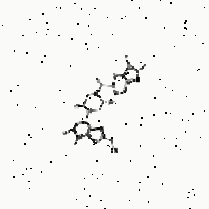 CC[C@H]1CN(C(C)c2ccn3nc(C)c(F)c3n2)[C@H](CC)CN1c1cc(=O)n(C)c2cn(CC#N)nc12